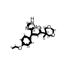 CCOc1ccc(C(=CC(=O)C2(C)COCOC2)c2nc[nH]n2)cc1